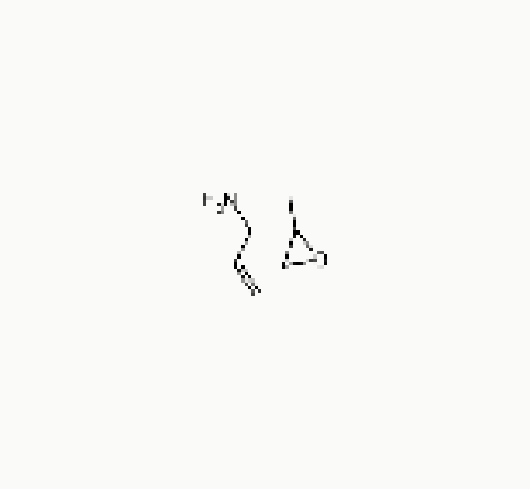 C=CCN.CC1CO1